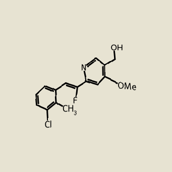 COc1cc(C(F)=Cc2cccc(Cl)c2C)ncc1CO